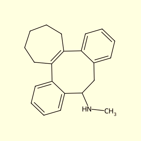 CNC1Cc2ccccc2C2=C(CCCCC2)c2ccccc21